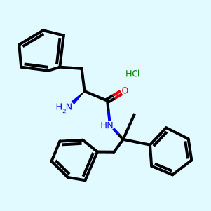 CC(Cc1ccccc1)(NC(=O)[C@@H](N)Cc1ccccc1)c1ccccc1.Cl